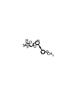 COc1cccc(C#Cc2cncc3cc(/C=C4/SC(=S)NC4=O)oc23)c1